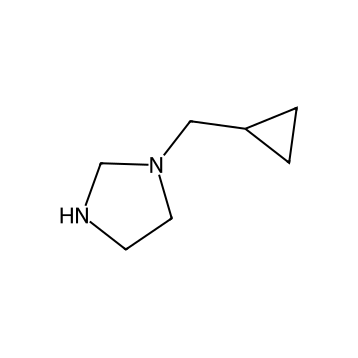 C1CN(CC2CC2)CN1